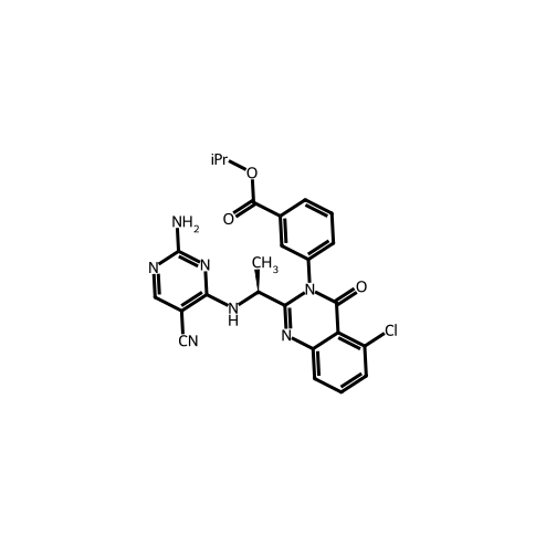 CC(C)OC(=O)c1cccc(-n2c([C@H](C)Nc3nc(N)ncc3C#N)nc3cccc(Cl)c3c2=O)c1